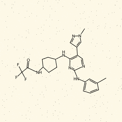 Cc1cccc(Nc2ncc(-c3cnn(C)c3)c(NC3CCC(NC(=O)C(F)(F)F)CC3)n2)c1